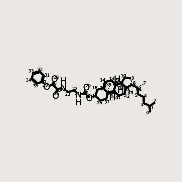 CC(C)CCC[C@@H](C)[C@H]1CC[C@H]2[C@@H]3CC=C4CC(OC(=O)NCCNC(=O)C(=O)Oc5ccccc5)CC[C@]4(C)[C@H]3CC[C@]12C